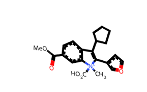 COC(=O)c1ccc2c(c1)[N+](C)(C(=O)O)C(c1ccoc1)=C2C1CCCC1